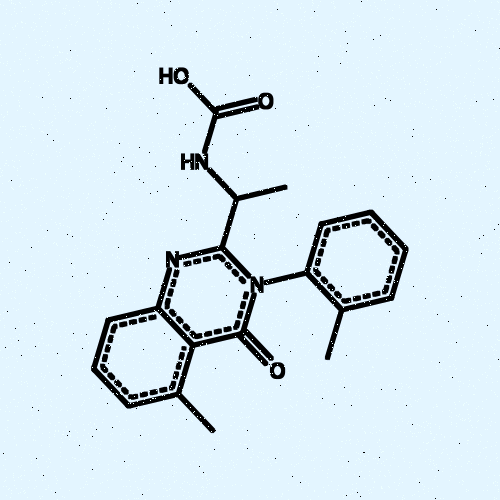 Cc1ccccc1-n1c(C(C)NC(=O)O)nc2cccc(C)c2c1=O